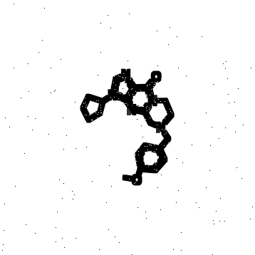 COc1ccc(CN2CCn3c(nc4c(ncn4C4CCCC4)c3=O)C2)cc1